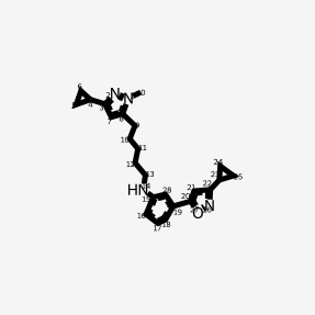 Cn1nc(C2CC2)cc1CCCCCNc1cccc(-c2cc(C3CC3)no2)c1